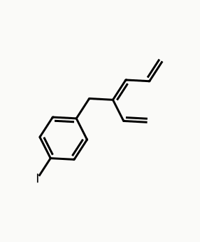 C=C/C=C(\C=C)Cc1ccc(I)cc1